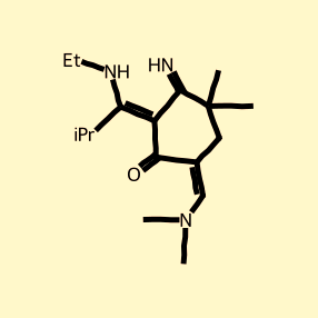 CCN/C(=C1\C(=N)C(C)(C)C/C(=C/N(C)C)C1=O)C(C)C